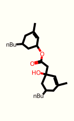 CCCCC1CC(C)=CC(OC(=O)CC2(O)C=C(C)CC(CCCC)C2)C1